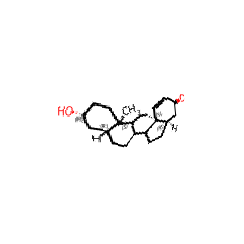 C[C@]12CC[C@@H](O)C[C@H]1CCC1C3CC[C@@H]4CC(=O)C=C[C@]34CCC12